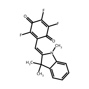 CN1/C(=C\C2=C(F)C(=O)C(F)=C(F)C2=O)C(C)(C)c2ccccc21